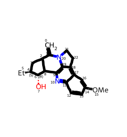 C=C1C2C[C@H](CC)[C@@H](O)C2c2nc3ccc(OC)cc3c3c2N1CC3